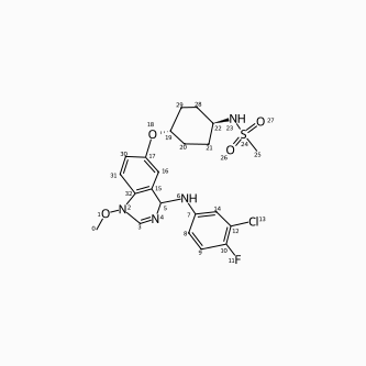 CON1C=NC(Nc2ccc(F)c(Cl)c2)c2cc(O[C@H]3CC[C@H](NS(C)(=O)=O)CC3)ccc21